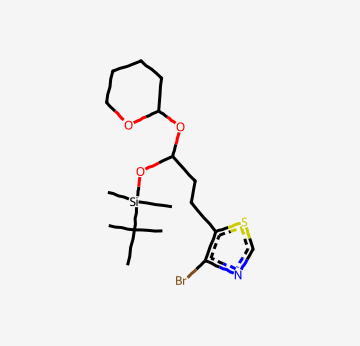 CC(C)(C)[Si](C)(C)OC(CCc1scnc1Br)OC1CCCCO1